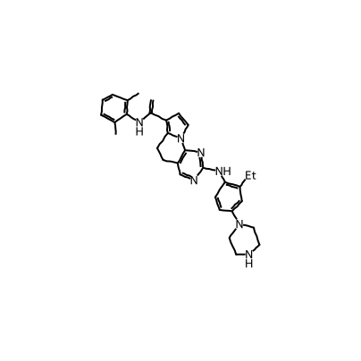 C=C(Nc1c(C)cccc1C)c1ccn2c1CCc1cnc(Nc3ccc(N4CCNCC4)cc3CC)nc1-2